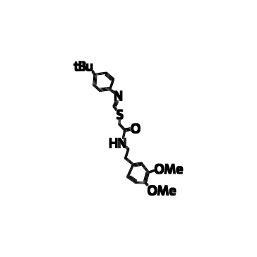 COc1ccc(CCNC(=O)CS/C=N/c2ccc(C(C)(C)C)cc2)cc1OC